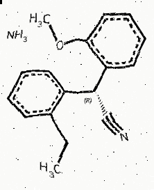 CCc1ccccc1[C@@H](C#N)c1ccccc1OC.N